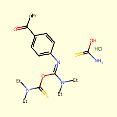 CCCC(=O)c1ccc(N=C(OC(=S)N(CC)CC)N(CC)CC)cc1.Cl.NC(O)=S